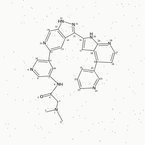 CN(C)CC(=O)Nc1cncc(-c2cc3c(-c4cc5c(-c6cccnc6)ccnc5[nH]4)n[nH]c3cn2)c1